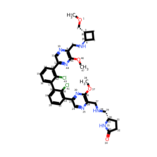 COC[C@@H]1CC[C@H]1NCc1ncc(-c2cccc(-c3cccc(-c4cnc(CNC[C@@H]5CCC(=O)N5)c(OC)n4)c3Cl)c2Cl)nc1OC